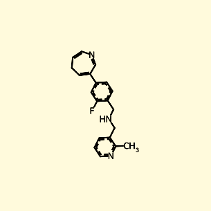 Cc1ncccc1CNCc1ccc(C2=CCC=CN=C2)cc1F